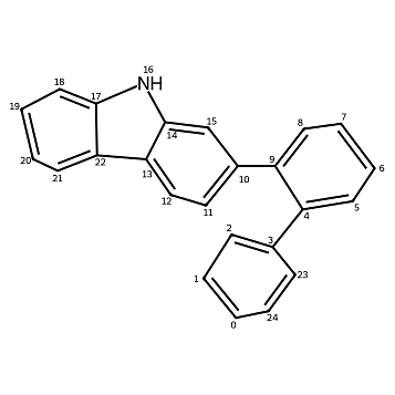 c1ccc(-c2ccccc2-c2ccc3c(c2)[nH]c2ccccc23)cc1